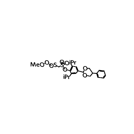 COOOSCS(=O)(=O)Oc1c(C(C)C)cc(C2OCC(c3ccccc3)CO2)cc1C(C)C